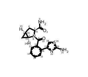 NC(=O)[C@@H]1C[C@@H]2C[C@@H]2N1C(=O)c1ccccc1-c1csc(N)n1